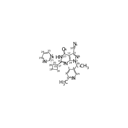 Cc1ccc([C@@H](C)n2nc(C#N)c3c(=O)[nH]c([C@H]4CC[C@@H]4c4ncccn4)nc32)cn1